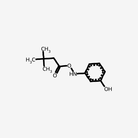 CC(C)(C)CC(=O)ONc1cccc(O)c1